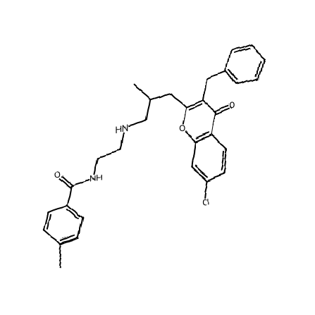 Cc1ccc(C(=O)NCCNCC(C)Cc2oc3cc(Cl)ccc3c(=O)c2Cc2ccccc2)cc1